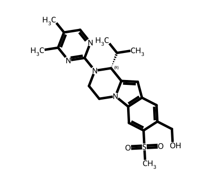 Cc1cnc(N2CCn3c(cc4cc(CO)c(S(C)(=O)=O)cc43)[C@H]2C(C)C)nc1C